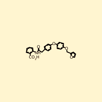 O=C(Cc1ccc(Oc2ccc(OCc3ccco3)cc2)cc1)Nc1ccccc1C(=O)O